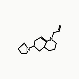 C=CCN1CCCC2CC(N3CCCC3)CC=C21